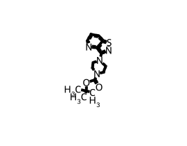 CC(C)(C)OC(=O)N1CCN(c2nsc3cccnc23)CC1